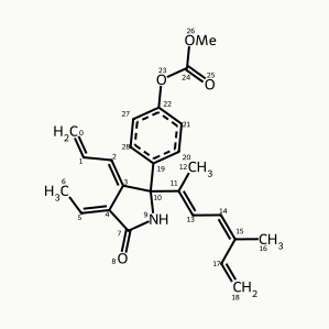 C=C/C=C1\C(=C/C)C(=O)NC1(/C(C)=C/C=C(/C)C=C)c1ccc(OC(=O)OC)cc1